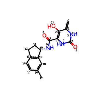 C=C1NC(=O)NC(C(=O)N[C@H]2CCc3ccc(C)cc32)=C1O